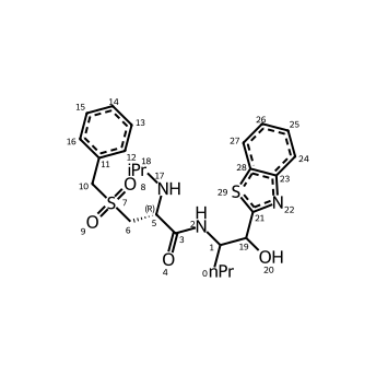 CCCC(NC(=O)[C@H](CS(=O)(=O)Cc1ccccc1)NC(C)C)C(O)c1nc2ccccc2s1